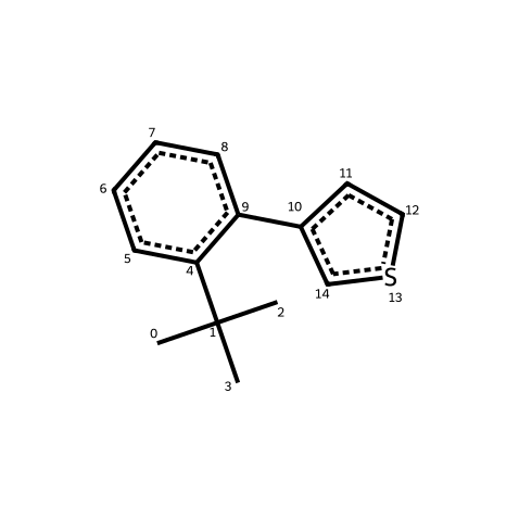 CC(C)(C)c1ccccc1-c1ccsc1